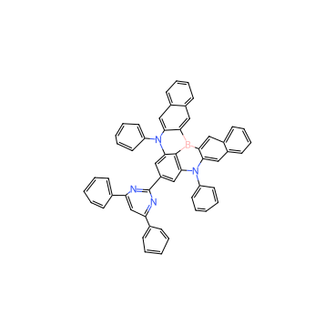 c1ccc(-c2cc(-c3ccccc3)nc(-c3cc4c5c(c3)N(c3ccccc3)c3cc6ccccc6cc3B5c3cc5ccccc5cc3N4c3ccccc3)n2)cc1